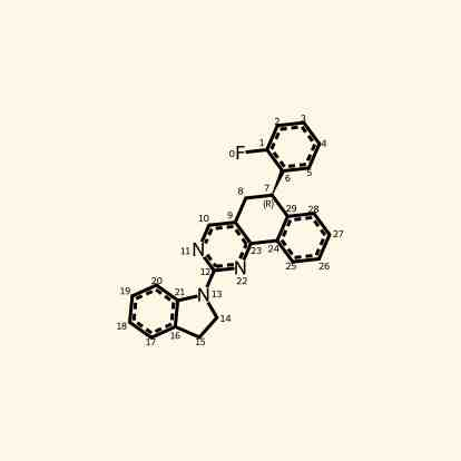 Fc1ccccc1[C@@H]1Cc2cnc(N3CCc4ccccc43)nc2-c2ccccc21